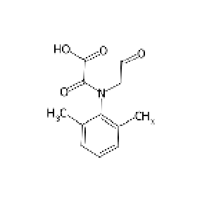 Cc1cccc(C)c1N(CC=O)C(=O)C(=O)O